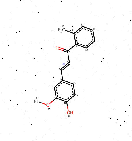 CCOc1cc(/C=C/C(=O)c2ccccc2C(F)(F)F)ccc1O